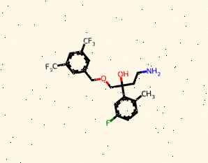 Cc1ccc(F)cc1C(O)(CCN)COCc1cc(C(F)(F)F)cc(C(F)(F)F)c1